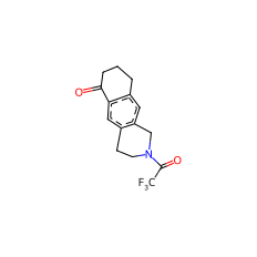 O=C1CCCc2cc3c(cc21)CCN(C(=O)C(F)(F)F)C3